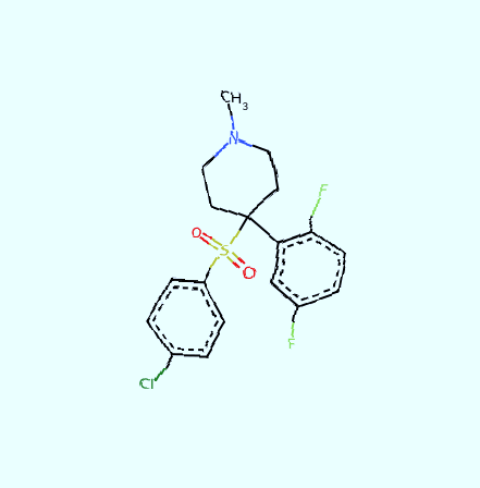 CN1CCC(c2cc(F)ccc2F)(S(=O)(=O)c2ccc(Cl)cc2)CC1